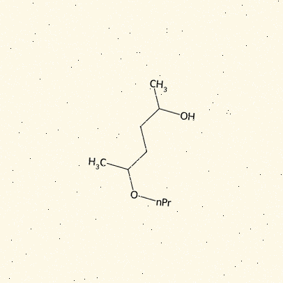 CCCOC(C)CCC(C)O